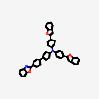 C1=CC(c2cc3ccccc3o2)CC=C1N(c1ccc(-c2ccc(-c3nc4ccccc4o3)cc2)cc1)c1ccc(-c2cc3ccccc3o2)cc1